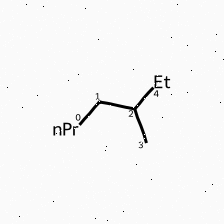 C[C]CCC(C)CC